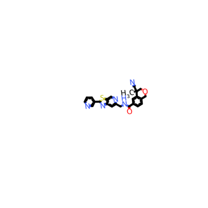 C[C@@]1(C#N)COCc2ccc(C(=O)NCc3cc4nc(-c5cccnc5)sc4cn3)cc21